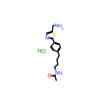 CC(=O)NCCCCc1ccc(-c2ncc(CN)s2)cc1.Cl